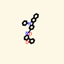 c1ccc(-n2c3cc(-c4nc5ccc6oc7ccccc7c6c5o4)ccc3c3cc4ccccc4cc32)cc1